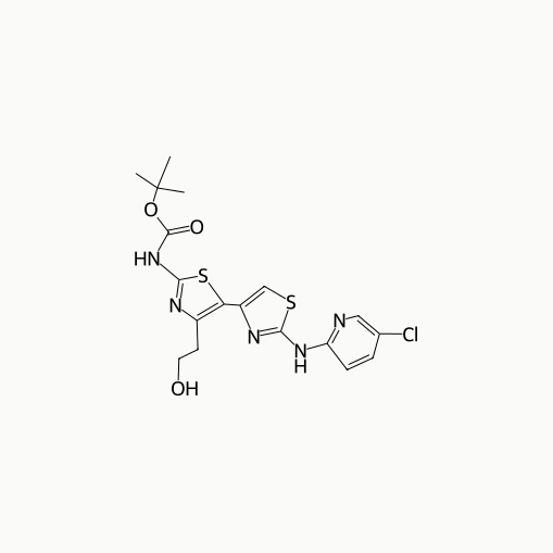 CC(C)(C)OC(=O)Nc1nc(CCO)c(-c2csc(Nc3ccc(Cl)cn3)n2)s1